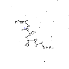 CCCCC/C=C(\C)C(=O)CC(=O)SCCNC(C)=O